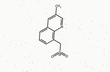 Cc1cnc2c(C[SH](=O)=O)cccc2c1